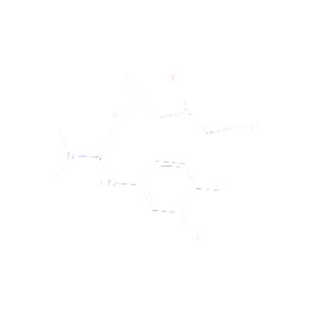 CN(C)C(=O)Nc1ccc(Cl)c(Cl)c1.O=C(O)CNCP(=O)(O)O